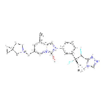 Cn1cnnc1[C@H](F)[C@](C)(F)c1cccc(-n2cc3c(C(F)(F)F)cc(CN4CCC5(CC5)C4)cn3c2=O)c1